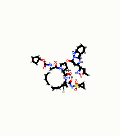 Cc1cc(-c2cc(O[C@@H]3C[C@H]4C(=O)N[C@]5(C(=O)NS(=O)(=O)C6CC6)C[C@H]5/C=C\CCCCC[C@H](NC(=O)OC5CCCC5)C(=O)N4C3)n3nc4ccccc4c3n2)no1